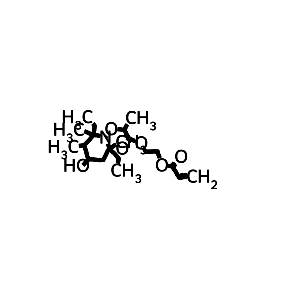 C=CC(=O)OCCOC(=O)C(C)ON1C(C)(CC)CC(O)C(C)C1(C)CC